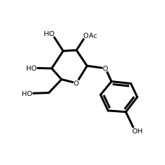 CC(=O)OC1C(Oc2ccc(O)cc2)OC(CO)C(O)C1O